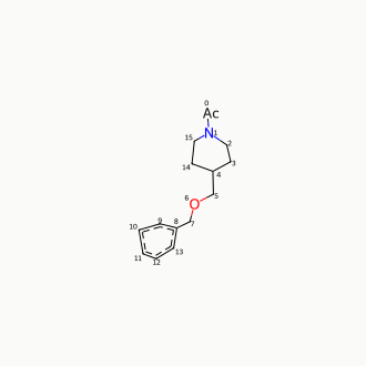 CC(=O)N1CCC(COCc2ccccc2)CC1